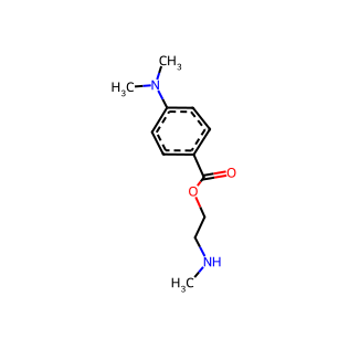 CNCCOC(=O)c1ccc(N(C)C)cc1